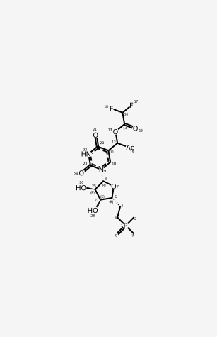 C=P(C)(C)CC[C@H]1O[C@@H](n2cc(C(OC(=O)C(F)F)C(C)=O)c(=O)[nH]c2=O)[C@H](O)[C@@H]1O